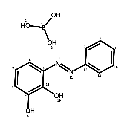 OB(O)O.Oc1cccc(N=Nc2ccccc2)c1O